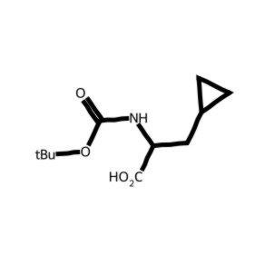 CC(C)(C)OC(=O)NC(CC1CC1)C(=O)O